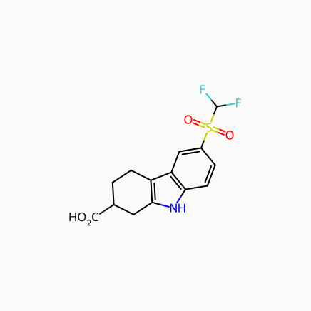 O=C(O)C1CCc2c([nH]c3ccc(S(=O)(=O)C(F)F)cc23)C1